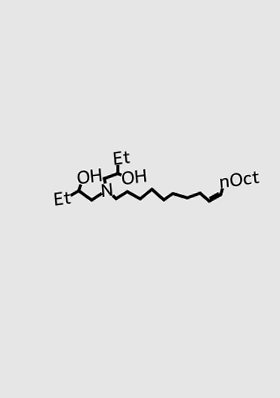 CCCCCCCC/C=C\CCCCCCCCN(CC(O)CC)CC(O)CC